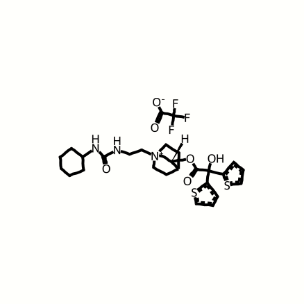 O=C(NCC[N+]12CCC(CC1)[C@@H](OC(=O)C(O)(c1cccs1)c1cccs1)C2)NC1CCCCC1.O=C([O-])C(F)(F)F